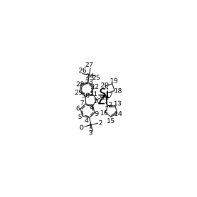 CC(C)(C)c1ccc2c(c1)[CH]([Zr]([C]1=CC=CC1)=[Si]1CCC1)c1cc(C(C)(C)C)ccc1-2